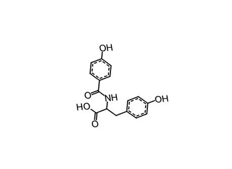 O=C(NC(Cc1ccc(O)cc1)C(=O)O)c1ccc(O)cc1